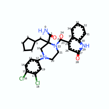 NC(=O)C1(CC2CCCC2)CN(c2ccc(Cl)c(Cl)c2)CCN1C(=O)c1cc(=O)[nH]c2ccccc12